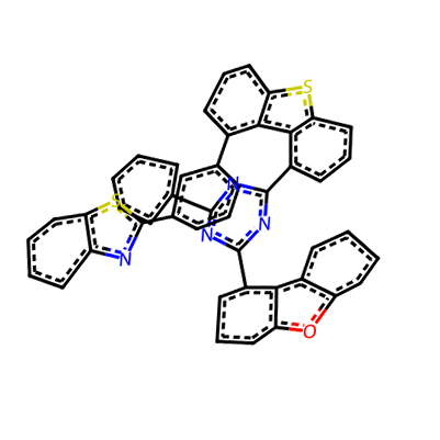 c1ccc(-c2nc(-c3cccc4oc5ccccc5c34)nc(-c3cccc4sc5cccc(-c6cccc(-c7nc8ccccc8s7)c6)c5c34)n2)cc1